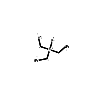 CC(C)C[Si](Br)(CC(C)C)CC(C)C